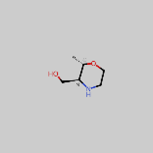 C[C@@H]1OCCN[C@H]1CO